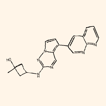 CC1(O)CC(Nc2ncc3c(-c4cnc5ncccc5c4)ccn3n2)C1